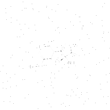 COC(=O)[C@](N)(C(=O)C(CC(=O)OC(C)(C)C)CC(C)C)C(C)C